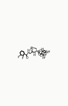 CC(C)C[C@H](NC(=O)CNC(=O)c1cccc(F)c1F)B1O[C@@H]2C[C@@H]3C[C@@H](C3(C)C)[C@]2(C)O1